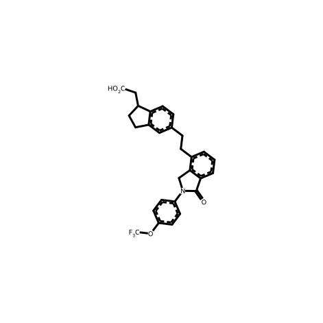 O=C(O)CC1CCc2cc(CCc3cccc4c3CN(c3ccc(OC(F)(F)F)cc3)C4=O)ccc21